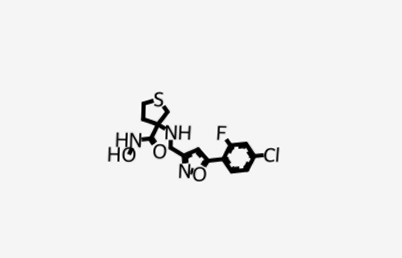 O=C(NO)C1(NCc2cc(-c3ccc(Cl)cc3F)on2)CCSC1